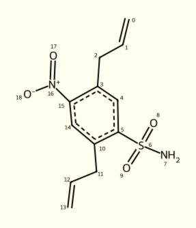 C=CCc1cc(S(N)(=O)=O)c(CC=C)cc1[N+](=O)[O-]